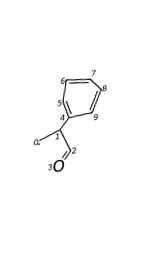 [CH2]C(C=O)c1ccccc1